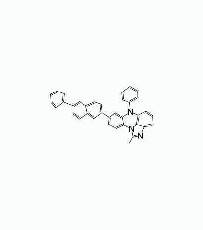 Cc1nc2cccc3c2n1-c1ccc(-c2ccc4cc(-c5ccccc5)ccc4c2)cc1N3c1ccccc1